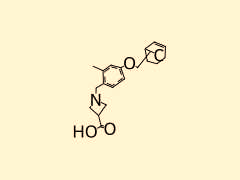 Cc1cc(OCC2CC3C=CC2CC3)ccc1CN1CC(C(=O)O)C1